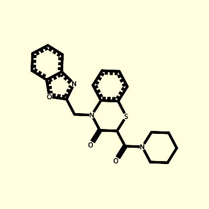 O=C(C1Sc2ccccc2N(Cc2nc3ccccc3o2)C1=O)N1CCCCC1